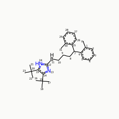 Cc1ccccc1C(CCCBc1nc(C(C)(C)C)c(C(C)(C)C)[nH]1)c1ccccc1C